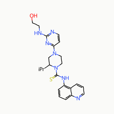 CC(C)C1CN(c2ccnc(NCCO)n2)CCN1C(=S)Nc1cccc2ncccc12